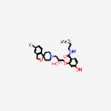 COCCNC(=O)c1ccc(O)cc1OC[C@@H](O)CN1CCC2(CC1)OCc1cc(Cl)ccc12